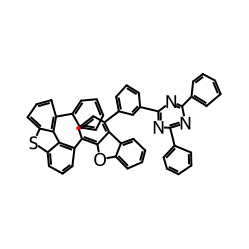 c1ccc(-c2nc(-c3ccccc3)nc(-c3cccc(-c4ccc(-c5cccc6sc7cccc(-c8ccccc8)c7c56)c5oc6ccccc6c45)c3)n2)cc1